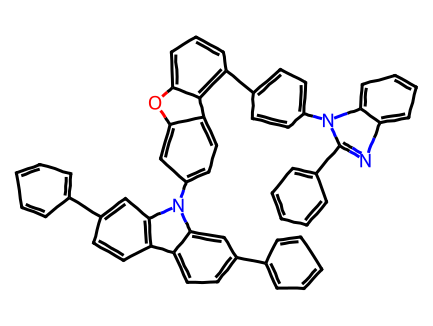 c1ccc(-c2ccc3c4ccc(-c5ccccc5)cc4n(-c4ccc5c(c4)oc4cccc(-c6ccc(-n7c(-c8ccccc8)nc8ccccc87)cc6)c45)c3c2)cc1